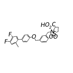 Cc1cc(F)c(F)cc1-c1ccc(OCc2cccc(CN3C(C(=O)O)CCS3(=O)=O)c2)cc1